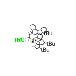 Cl.Cl.[CH2]=[Zr]([C]1=CC(C(C)(C)C)=CC1C)([c]1ccc(C(C)(C)C)cc1)([c]1ccc(C(C)(C)C)cc1)[C]1(C)C2=C3Cc4ccccc4C3=C3C=CCCC3C2(C)C(C)(C)C(C)(C)C1(C)C